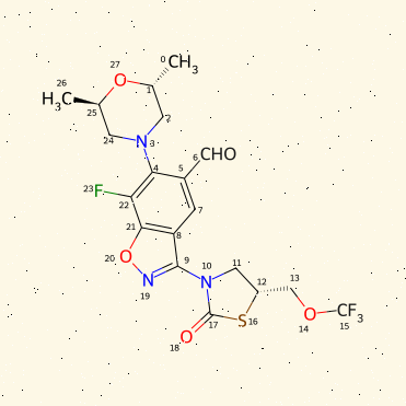 C[C@@H]1CN(c2c(C=O)cc3c(N4C[C@H](COC(F)(F)F)SC4=O)noc3c2F)C[C@@H](C)O1